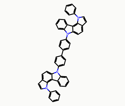 c1ccc(-n2ccc3ccc4c(c5ccccc5n4-c4ccc(-c5ccc(-n6c7ccccc7c7c8c(ccc76)ccn8-c6ccccc6)cc5)cc4)c32)cc1